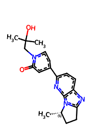 C[C@H]1CCc2nc3ccc(-c4ccn(CC(C)(C)O)c(=O)c4)nc3n21